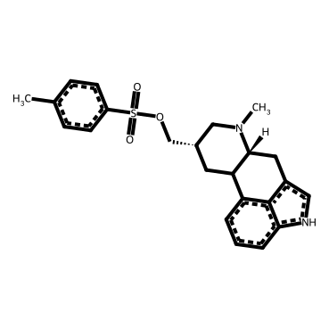 Cc1ccc(S(=O)(=O)OC[C@H]2CC3c4cccc5[nH]cc(c45)C[C@H]3N(C)C2)cc1